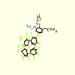 CCc1cccc([NH3+])c1CC.Fc1c(F)c(F)c([B-](c2c(F)c(F)c(F)c(F)c2F)(c2c(F)c(F)c(F)c(F)c2F)c2c(F)c(F)c(F)c(F)c2F)c(F)c1F